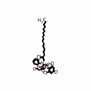 CCCCCCCCCCCC/C=C/CCC(Cl)CN(c1cc(=O)n(-c2c(Cl)cc(Cl)cc2Cl)[nH]1)c1ccccc1N1C(=O)CCC1=O